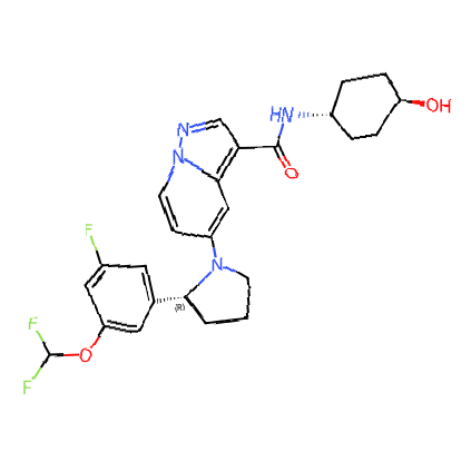 O=C(N[C@H]1CC[C@H](O)CC1)c1cnn2ccc(N3CCC[C@@H]3c3cc(F)cc(OC(F)F)c3)cc12